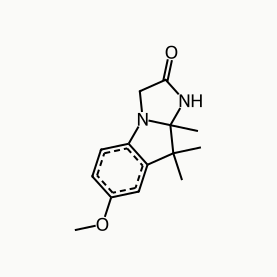 COc1ccc2c(c1)C(C)(C)C1(C)NC(=O)CN21